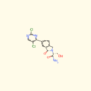 NC(=O)[C@@H](CO)N1Cc2ccc(-c3nc(Cl)ncc3Cl)cc2C1=O